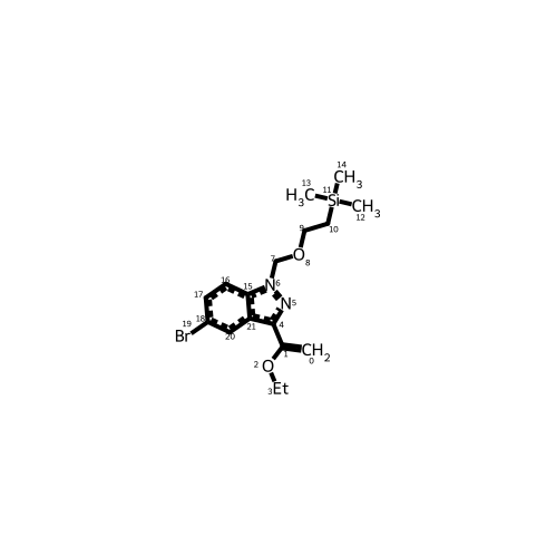 C=C(OCC)c1nn(COCC[Si](C)(C)C)c2ccc(Br)cc12